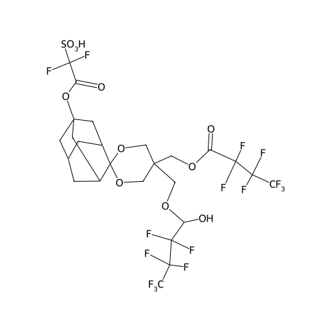 O=C(OCC1(COC(O)C(F)(F)C(F)(F)C(F)(F)F)COC2(OC1)C1CC3CC2CC(OC(=O)C(F)(F)S(=O)(=O)O)(C3)C1)C(F)(F)C(F)(F)C(F)(F)F